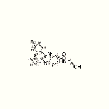 C#CCNC(=O)c1ccc2nc(-c3cccs3)c(-c3ccc(F)cc3)nc2c1